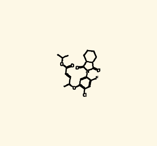 CC(C)OC(=O)C=CC(C)Oc1cc(N2C(=O)C3CCCCC3C2=O)c(F)cc1Cl